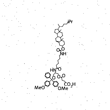 COc1ccc(C(OCC(COC(=O)CCC(=O)O)NC(=O)CCCCCNC(=O)OC2CCC3(C)C(=CCC4C3CCC3(C)C(C(C)CCCC(C)C)CCC43)C2)(c2ccccc2)c2ccc(OC)cc2)cc1